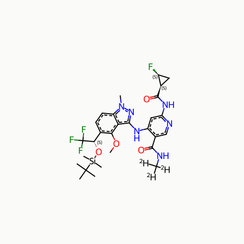 [2H]C([2H])([2H])NC(=O)c1cnc(NC(=O)[C@@H]2C[C@@H]2F)cc1Nc1nn(C)c2ccc([C@H](O[Si](C)(C)C(C)(C)C)C(F)(F)F)c(OC)c12